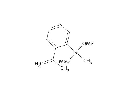 C=C(C)c1ccccc1[Si](C)(OC)OC